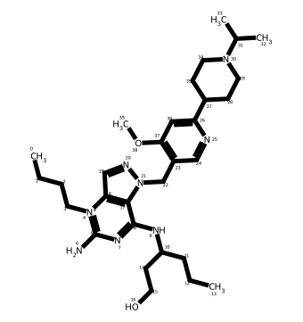 CCCC[n+]1c(N)nc(NC(CCC)CCO)c2c1cnn2Cc1cnc(C2CCN(C(C)C)CC2)cc1OC